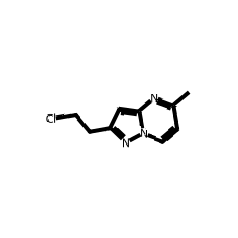 Cc1ccn2nc(CCCl)cc2n1